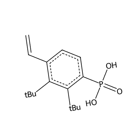 C=Cc1ccc(P(=O)(O)O)c(C(C)(C)C)c1C(C)(C)C